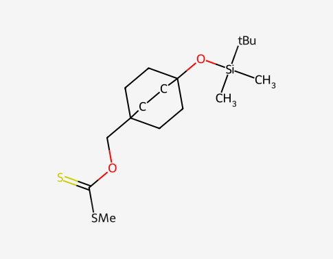 CSC(=S)OCC12CCC(O[Si](C)(C)C(C)(C)C)(CC1)CC2